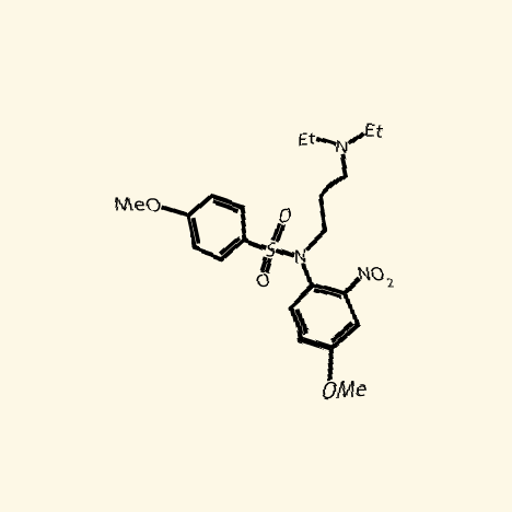 CCN(CC)CCCN(c1ccc(OC)cc1[N+](=O)[O-])S(=O)(=O)c1ccc(OC)cc1